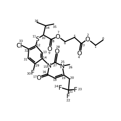 CCOC(=O)CCOC(=O)C(Sc1cc(-n2c(=O)cc(CC(F)(F)F)n(C)c2=O)c(F)cc1Cl)C(C)C